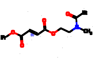 CCC(=O)N(C)CCOC(=O)/C=C/C(=O)OC(C)C